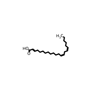 CCCCC/C=C\C/C=C\CCCCCCCCC/C=C/C(=O)O